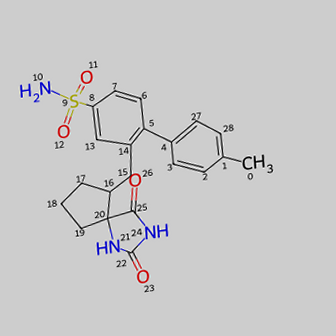 Cc1ccc(-c2ccc(S(N)(=O)=O)cc2CC2CCCC23NC(=O)NC3=O)cc1